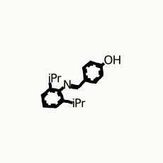 CC(C)c1cccc(C(C)C)c1N=Cc1ccc(O)cc1